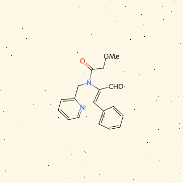 COCC(=O)N(Cc1ccccn1)C([C]=O)=Cc1ccccc1